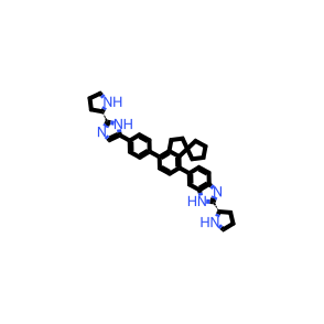 c1cc(-c2ccc(-c3ccc4nc([C@@H]5CCCN5)[nH]c4c3)c3c2CCC32CCCC2)ccc1-c1cnc([C@@H]2CCCN2)[nH]1